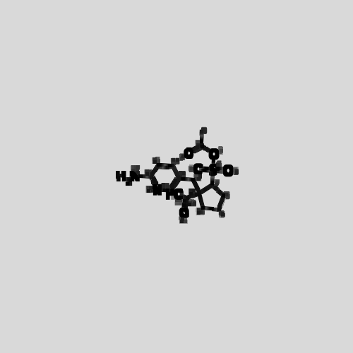 CC(=O)OS(=O)(=O)C1CCCC1(Cc1ccc(N)nc1)C(=O)O